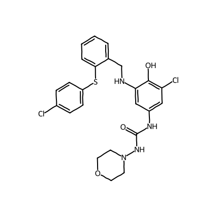 O=C(Nc1cc(Cl)c(O)c(NCc2ccccc2Sc2ccc(Cl)cc2)c1)NN1CCOCC1